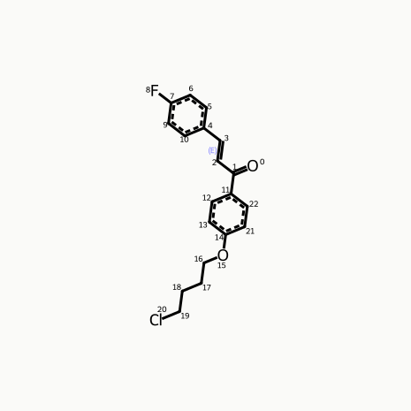 O=C(/C=C/c1ccc(F)cc1)c1ccc(OCCCCCl)cc1